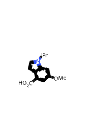 COc1cc(C(=O)O)c2ccn(C(C)C)c2c1